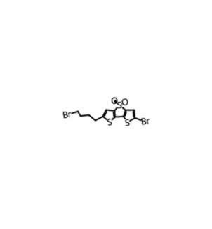 O=S1(=O)c2cc(Br)sc2-c2sc(CCCCBr)cc21